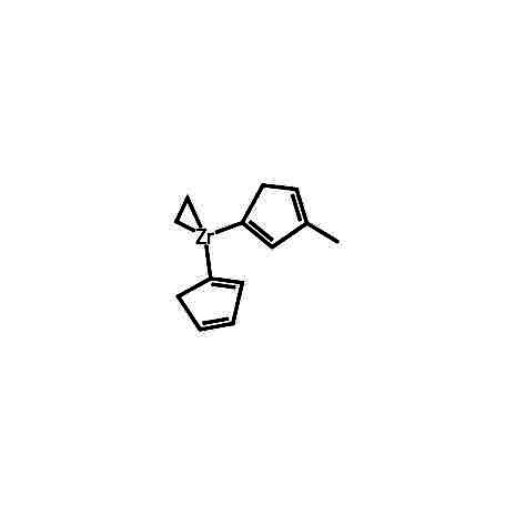 CC1=CC[C]([Zr]2([C]3=CC=CC3)[CH2][CH2]2)=C1